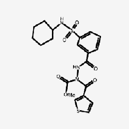 COC(=O)N(NC(=O)c1cccc(S(=O)(=O)NC2CCCCC2)c1)C(=O)c1ccsc1